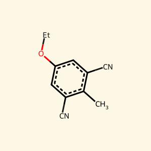 CCOc1cc(C#N)c(C)c(C#N)c1